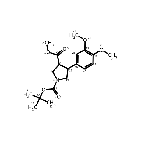 COC(=O)C1CN(C(=O)OC(C)(C)C)CC1c1ccc(OC)c(OC)c1